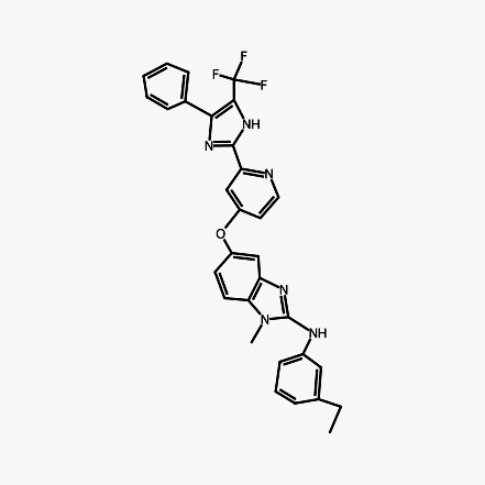 CCc1cccc(Nc2nc3cc(Oc4ccnc(-c5nc(-c6ccccc6)c(C(F)(F)F)[nH]5)c4)ccc3n2C)c1